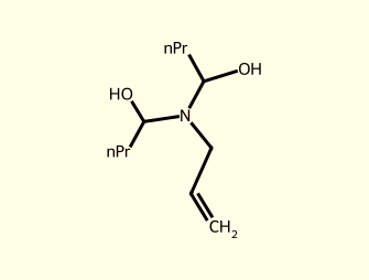 C=CCN(C(O)CCC)C(O)CCC